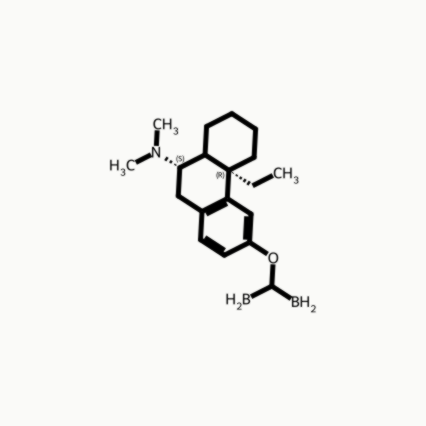 BC(B)Oc1ccc2c(c1)[C@]1(CC)CCCCC1[C@@H](N(C)C)C2